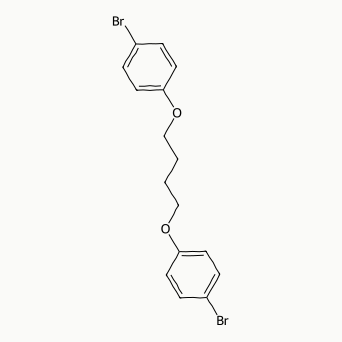 Brc1ccc(OCCCCOc2ccc(Br)cc2)cc1